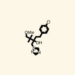 COCC(C)(C)C(O)(CCc1ccc(Cl)cc1)Cn1cncn1